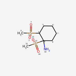 CS(=O)(=O)C1CCCCC1(N)S(C)(=O)=O